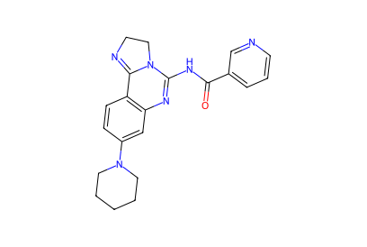 O=C(NC1=Nc2cc(N3CCCCC3)ccc2C2=NCCN12)c1cccnc1